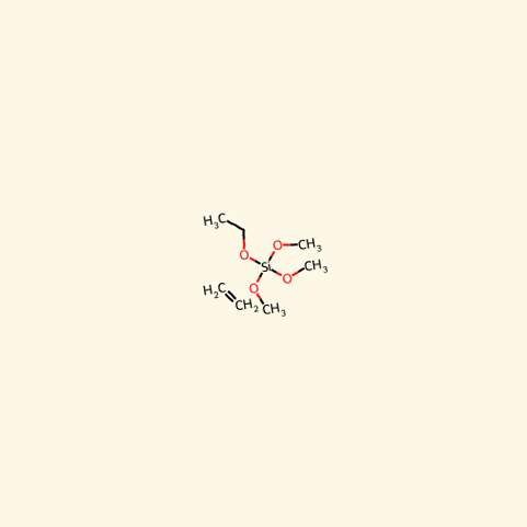 C=C.CCO[Si](OC)(OC)OC